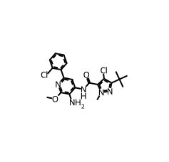 COc1nc(-c2ccccc2Cl)cc(NC(=O)c2c(Cl)c(C(C)(C)C)nn2C)c1N